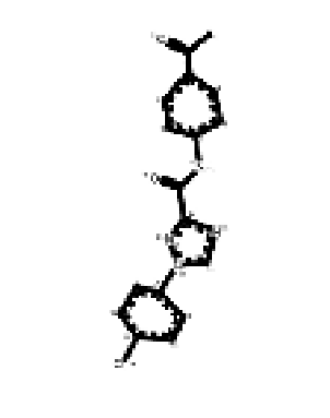 CC(=O)c1ccc(NC(=O)c2ncn(-c3ccc(Cl)cc3)n2)cc1